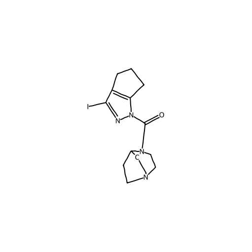 O=C(N1CCN2CCC1CC2)n1nc(I)c2c1CCC2